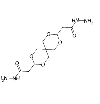 NNC(=O)CC1OCC2(CO1)COC(CC(=O)NN)OC2